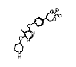 Cc1c(Oc2ccc(C3COS(=O)(=O)OC3)cc2)ncnc1OC1CCNCC1